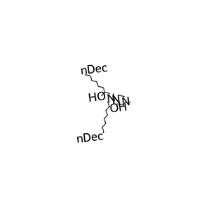 CCCCCCCCCCCCCCCCC(O)CN(CC(O)CCCCCCCCCCCCCCCC)N1CCN(C)CC1